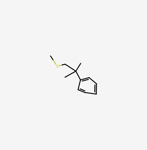 CSCC(C)(C)c1ccccc1